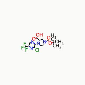 CC(C)(C)OC(=O)N1CCN(c2ncc(C(F)(F)F)nc2Cl)C(C(=O)O)C1